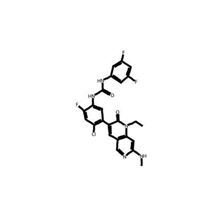 CCn1c(=O)c(-c2cc(NC(=O)Nc3cc(F)cc(F)c3)c(F)cc2Cl)cc2cnc(NC)cc21